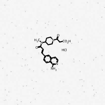 CN(C(=O)C=Cc1ccc2c(N)nccc2c1)C1CCN(C(=O)CC(=O)O)CC1.Cl